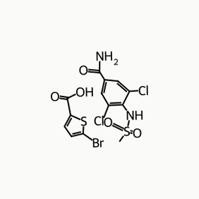 CS(=O)(=O)Nc1c(Cl)cc(C(N)=O)cc1Cl.O=C(O)c1ccc(Br)s1